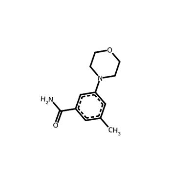 Cc1cc(C(N)=O)cc(N2CCOCC2)c1